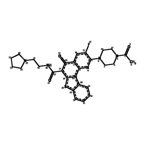 CC(=O)N1CCN(c2nc3c(cc2F)c(=O)c(C(=O)NCCN2CCCC2)c2sc4ccccc4n23)CC1